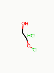 Cl.OCCOCl